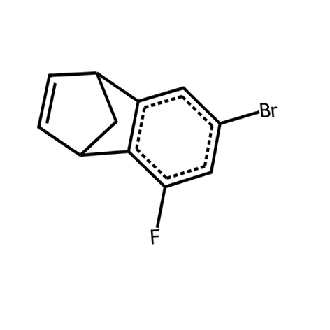 Fc1cc(Br)cc2c1C1C=CC2C1